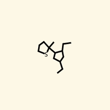 CCC1CC(CC)C(C2(C)CCCS2)C1